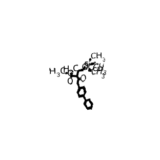 CCOC(=O)C(C(=O)Cc1ccc(-c2ccccc2)cc1)C(C)CO[Si](CC)(CC)CC